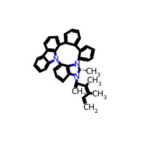 C=C/C(C)=C(/C)C(=C)N1c2cccc3c2N(c2ccccc2-c2ccccc2-c2cccc4c5ccccc5n-3c24)[C@@H]1C